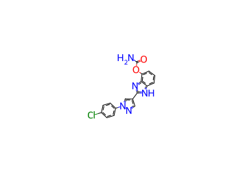 NC(=O)Oc1cccc2[nH]c(-c3cnn(-c4ccc(Cl)cc4)c3)nc12